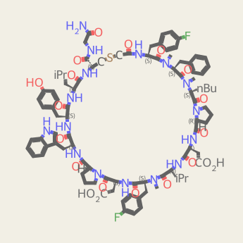 CCCC[C@H]1C(=O)N2CCC[C@@H]2C(=O)N[C@@H](CC(=O)O)C(=O)N[C@@H](C(C)C)C(=O)N(C)[C@@H](Cc2ccc(F)cc2)C(=O)N[C@@H](CC(=O)O)C(=O)N2CCC[C@@H]2C(=O)N[C@@H](Cc2c[nH]c3ccccc23)C(=O)N[C@@H](Cc2ccc(O)cc2)C(=O)N[C@@H](CC(C)C)C(=O)N[C@H](C(=O)NCC(N)=O)CSCC(=O)N[C@@H](Cc2ccc(F)cc2)C(=O)N(C)[C@@H](Cc2ccccc2)C(=O)N1C